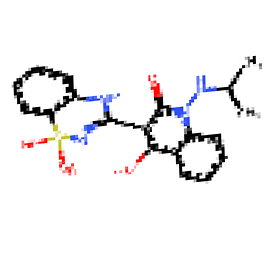 CC(C)Nn1c(=O)c(C2=NS(O)(O)c3ccccc3N2)c(O)c2ccccc21